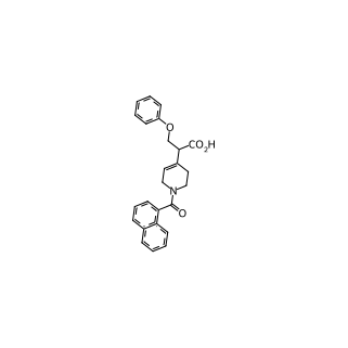 O=C(O)C(COc1ccccc1)C1=CCN(C(=O)c2cccc3ccccc23)CC1